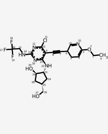 CCOC1=CCC(C#Cc2c(Cl)nc(NCC(F)(F)F)nc2N[C@@H]2C[C@H](CO)C[C@H]2O)C=N1